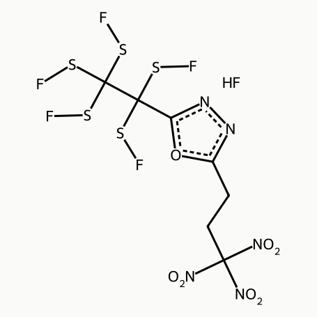 F.O=[N+]([O-])C(CCc1nnc(C(SF)(SF)C(SF)(SF)SF)o1)([N+](=O)[O-])[N+](=O)[O-]